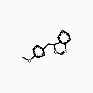 COc1ccc(CC2OC=Nc3ccccc32)cc1